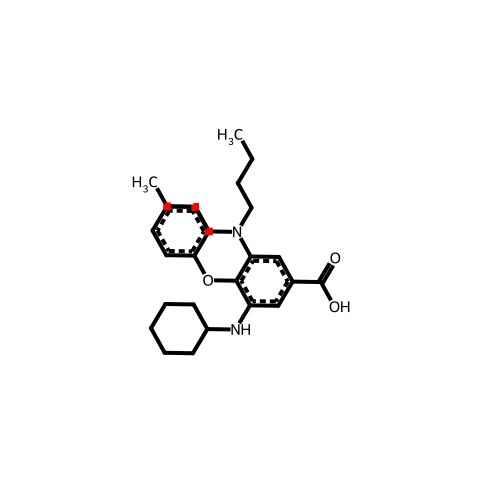 CCCCN(CCCC)c1cc(C(=O)O)cc(NC2CCCCC2)c1Oc1ccccc1